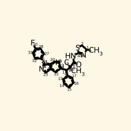 CC1CSC(NC(=O)C(C)(C)C(c2ccccc2)c2ccc3c(cnn3-c3ccc(F)cc3)c2)=N1